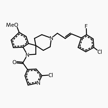 COc1ccc2c(c1)C1(CCN(C/C=C/c3ccc(Cl)cc3F)CC1)CN2C(=O)c1ccnc(Cl)c1